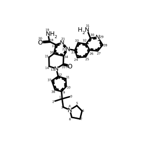 CC(C)(CN1CCCC1)c1ccc(N2CCc3c(C(N)=O)nn(-c4ccc5ccnc(N)c5c4)c3C2=O)cc1